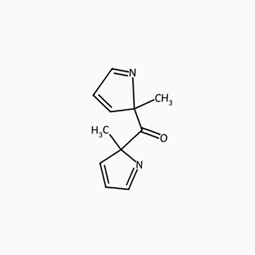 CC1(C(=O)C2(C)C=CC=N2)C=CC=N1